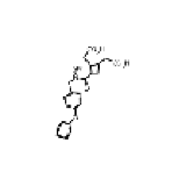 CCCN(Cc1ccc(Oc2ccccc2)cc1)C(=O)C1CC(CC(=O)O)C1CC(=O)O